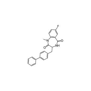 CN1C(=O)C(Cc2ccc(-c3ccccc3)cc2)NC(=O)c2cc(F)ccc21